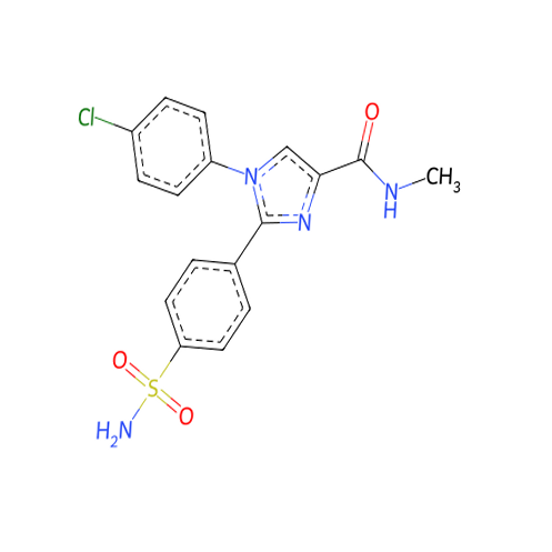 CNC(=O)c1cn(-c2ccc(Cl)cc2)c(-c2ccc(S(N)(=O)=O)cc2)n1